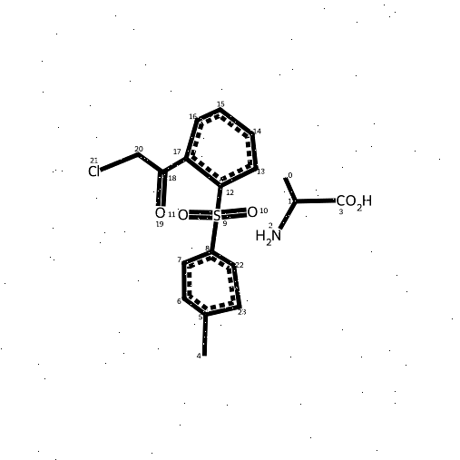 CC(N)C(=O)O.Cc1ccc(S(=O)(=O)c2ccccc2C(=O)CCl)cc1